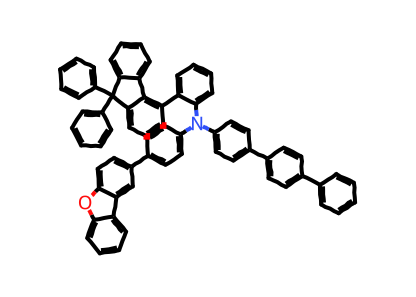 c1ccc(-c2ccc(-c3ccc(N(c4ccc(-c5ccc6oc7ccccc7c6c5)cc4)c4ccccc4-c4cccc5c4-c4ccccc4C5(c4ccccc4)c4ccccc4)cc3)cc2)cc1